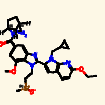 CCOc1ccc2cc(-c3nc4cc(C(=O)N5C[C@H]6CC[C@@H]5[C@@H]6N)cc(OC)c4n3CC[S@+](C)[O-])n(CC3CC3)c2n1